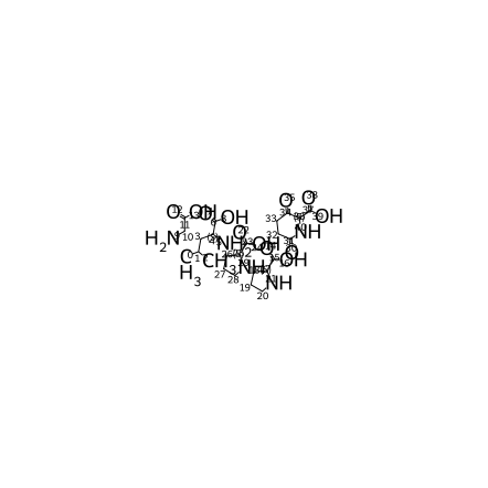 CC(C)C[C@H](N)C(=O)O.NCC(=O)O.O=C(O)[C@@H]1CCCN1.O=C(O)[C@@H]1CCCN1.O=C1CCC(=O)[C@@H](C(=O)O)N1